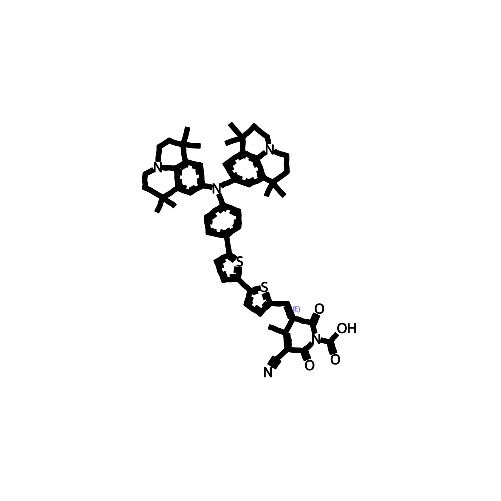 CC1=C(C#N)C(=O)N(C(=O)O)C(=O)/C1=C/c1ccc(-c2ccc(-c3ccc(N(c4cc5c6c(c4)C(C)(C)CCN6CCC5(C)C)c4cc5c6c(c4)C(C)(C)CCN6CCC5(C)C)cc3)s2)s1